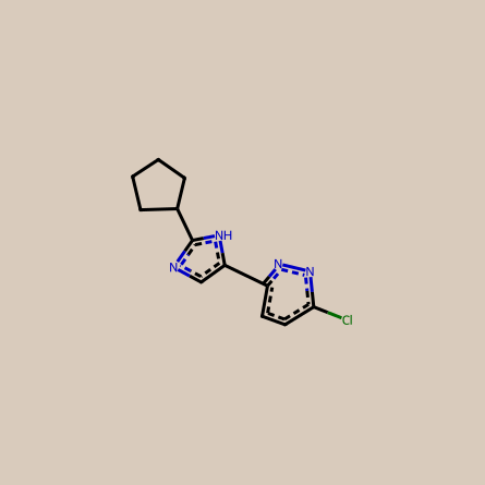 Clc1ccc(-c2cnc(C3CCCC3)[nH]2)nn1